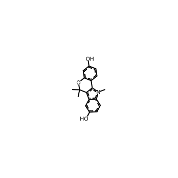 Cn1c2c(c3cc(O)ccc31)C(C)(C)Oc1cc(O)ccc1-2